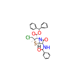 C[C@@]1(CCl)S[C@@H]2[C@H](NC(=O)c3ccccc3)C(=O)N2[C@H]1C(=O)OC(c1ccccc1)c1ccccc1